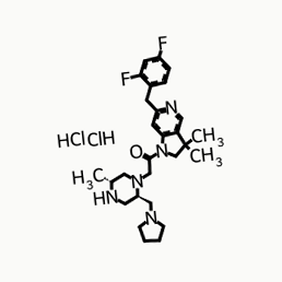 C[C@@H]1CN(CC(=O)N2CC(C)(C)c3cnc(Cc4ccc(F)cc4F)cc32)[C@@H](CN2CCCC2)CN1.Cl.Cl